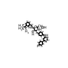 CC(=O)N[C@@H](Cc1ccc(Nc2cc(-c3ccc(F)cc3)ncn2)cc1)[C@@H](O)CNCc1cccc(C(C)(C)C)c1.Cl